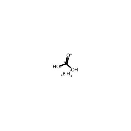 O=C(O)O.[BiH3]